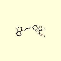 COC(=O)C1(C)OCC(CCCCN2CCSc3ccccc32)CO1